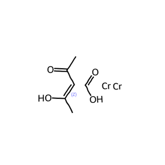 CC(=O)/C=C(/C)O.O=CO.[Cr].[Cr]